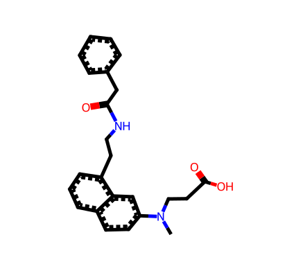 CN(CCC(=O)O)c1ccc2cccc(CCNC(=O)Cc3ccccc3)c2c1